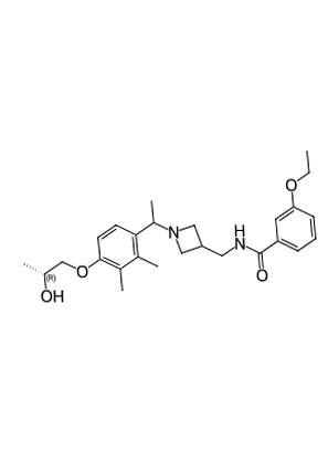 CCOc1cccc(C(=O)NCC2CN(C(C)c3ccc(OC[C@@H](C)O)c(C)c3C)C2)c1